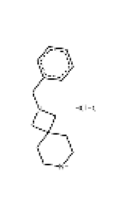 Cl.Cl.c1ccc(CN2CC3(CCNCC3)C2)cc1